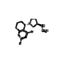 O=C(O)N[C@@H]1CCN([C@H]2CCCc3cc(Cl)cc(Br)c32)C1